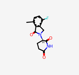 Cc1ccc(F)c2c1C(=O)N([C@@H]1CCC(=O)NC1=O)C2